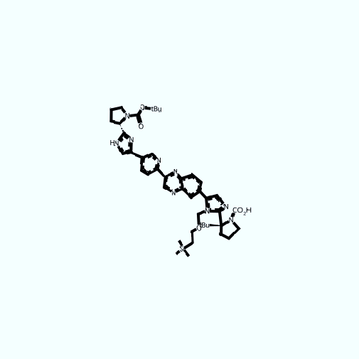 CC(C)(C)OC(=O)N1CCC[C@H]1c1nc(-c2ccc(-c3cnc4cc(-c5cnc([C@@]6(C(C)(C)C)CCCN6C(=O)O)n5COCC[Si](C)(C)C)ccc4n3)nc2)c[nH]1